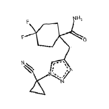 N#CC1(n2cc([CH]C3(C(N)=O)CCC(F)(F)CC3)nn2)CC1